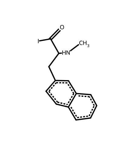 CNC(Cc1ccc2ccccc2c1)C(=O)I